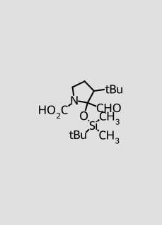 CC(C)(C)C1CCN(C(=O)O)C1(C=O)O[Si](C)(C)C(C)(C)C